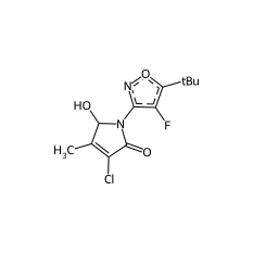 CC1=C(Cl)C(=O)N(c2noc(C(C)(C)C)c2F)C1O